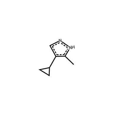 Cc1[nH]ncc1C1CC1